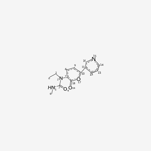 CCN(C(=O)NC)c1ccc(-c2cccnc2)oc1=O